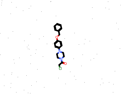 O=C(CCl)N1CCN(c2ccc(OCc3ccccc3)cc2)CC1